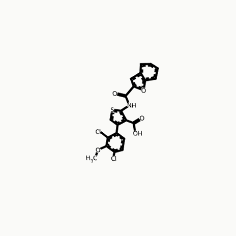 COc1c(Cl)ccc(-c2csc(NC(=O)c3cc4ccccc4o3)c2C(=O)O)c1Cl